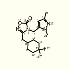 Cc1cc(Cn2c(CC3CCC(F)(F)CC3)noc2=O)n(C)n1